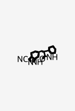 N#Cc1n[nH]c2cc(C=C3C(=O)Nc4ccccc43)ccc12